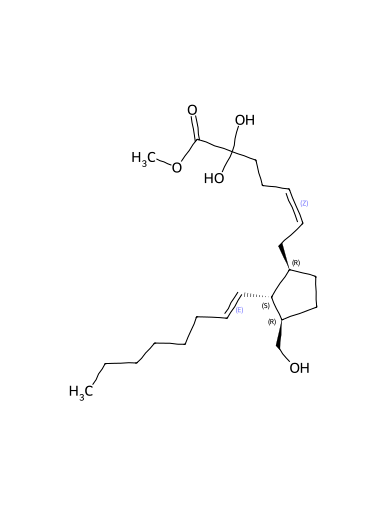 CCCCCC/C=C/[C@H]1[C@H](CO)CC[C@@H]1C/C=C\CCC(O)(O)C(=O)OC